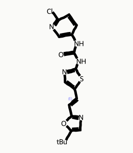 CC(C)(C)c1cnc(/C=C/c2cnc(NC(=O)Nc3ccc(Cl)nc3)s2)o1